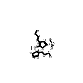 CCCCC1=[C]([Hf][C]2=C(CCCC)C=CC2)CC=C1.COC